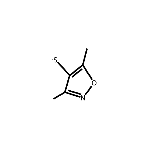 Cc1noc(C)c1[S]